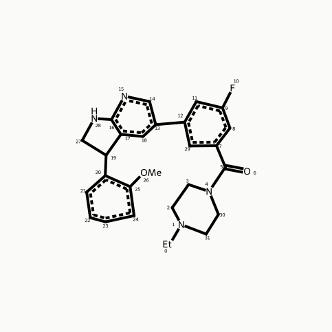 CCN1CCN(C(=O)c2cc(F)cc(-c3cnc4c(c3)C(c3ccccc3OC)CN4)c2)CC1